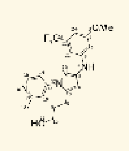 COc1cc(Nc2cc(CCCO)n(-c3ccnc(C)c3)n2)cc(C(F)(F)F)c1